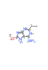 CCc1nc(N)c2[nH]c(OC)nc2n1